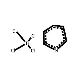 [Cl][Ti]([Cl])([Cl])[Cl].c1ccncc1